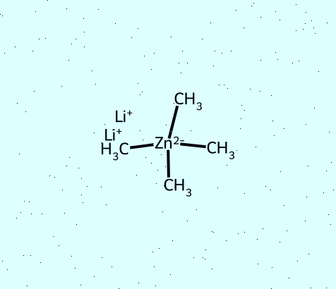 [CH3][Zn-2]([CH3])([CH3])[CH3].[Li+].[Li+]